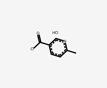 Cc1ccc(C(=O)Cl)cn1.Cl